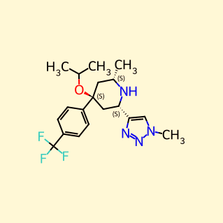 CC(C)O[C@]1(c2ccc(C(F)(F)F)cc2)C[C@@H](c2cn(C)nn2)N[C@@H](C)C1